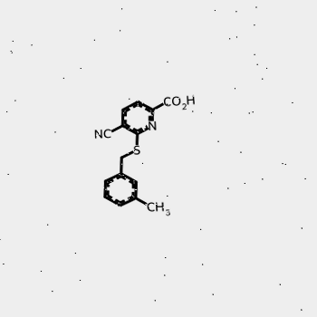 Cc1cccc(CSc2nc(C(=O)O)ccc2C#N)c1